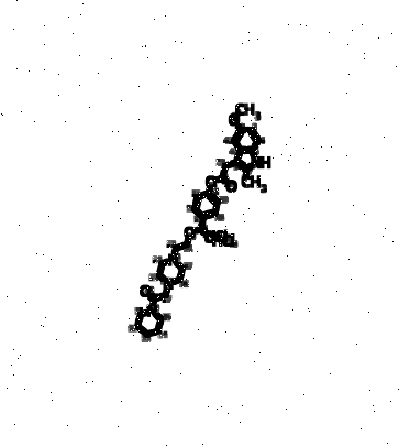 COc1ccc2[nH]c(C)c(CC(=O)Oc3ccc(C(=O)OCCN4CCN(CC(=O)N5CCCCC5)CC4)cc3)c2c1.Cl.Cl